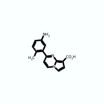 Cc1ccc(N)cc1-c1ccn2ccc(C(=O)O)c2n1